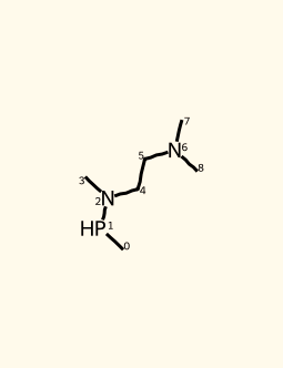 CPN(C)CCN(C)C